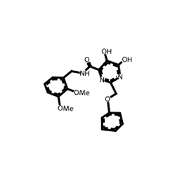 COc1cccc(CNC(=O)c2nc(COc3ccccc3)nc(O)c2O)c1OC